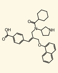 O=C(O)c1ccc(C=C(COc2cccc3ccccc23)CN(C(=O)C2CCCCC2)C2CCNC2)cc1